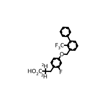 [2H]C([2H])(Cc1ccc(OCc2cccc(-c3ccccc3)c2C(F)(F)F)cc1F)C(=O)O